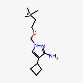 C[Si](C)(C)CCOCn1cc(C2CCC2)c(N)n1